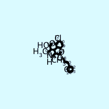 CC1=C(C(=O)O)C(c2cccc(Cl)c2)C(C(=O)OCC=Cc2ccco2)=C(C)N1